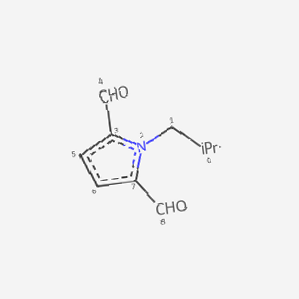 C[C](C)Cn1c(C=O)ccc1C=O